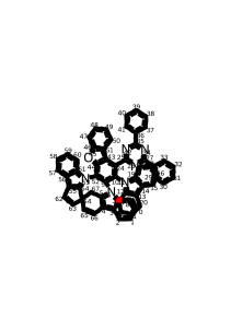 c1ccc2c3c4n(c2c#1)-c1c(-n2c5c(c6ccccc62)C=CCC5)c(-c2nc(-c5ccccc5)nc(-c5ccccc5)n2)c2c(oc5ccccc52)c1-n1c2c(c5ccccc51)C=CC2(C=C3)C4